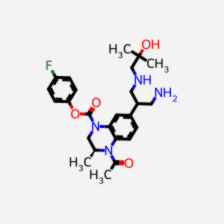 CC(=O)N1c2ccc(C(CN)CNCC(C)(C)O)cc2N(C(=O)Oc2ccc(F)cc2)C[C@@H]1C